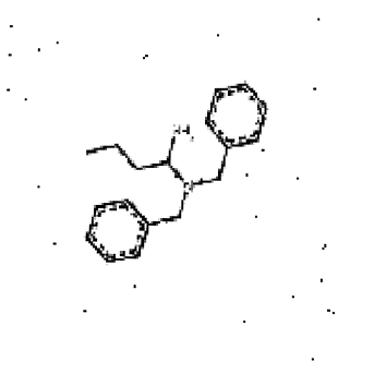 CCCC(N)N(Cc1ccccc1)Cc1ccccc1